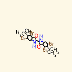 CC(C)c1c(Br)cc2c(c1Br)C(=O)/C(=C1\Nc3cc(Br)c(C(C)C)c(Br)c3C1=O)N2